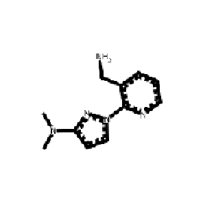 CN(C)c1ccn(-c2ncccc2CN)n1